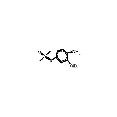 CC(C)COc1cc(N=S(C)(C)=O)ccc1N